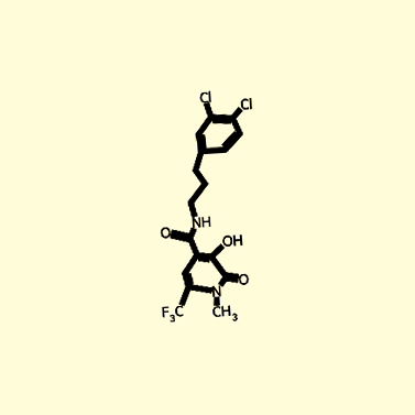 Cn1c(C(F)(F)F)cc(C(=O)NCCCc2ccc(Cl)c(Cl)c2)c(O)c1=O